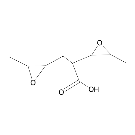 CC1OC1CC(C(=O)O)C1OC1C